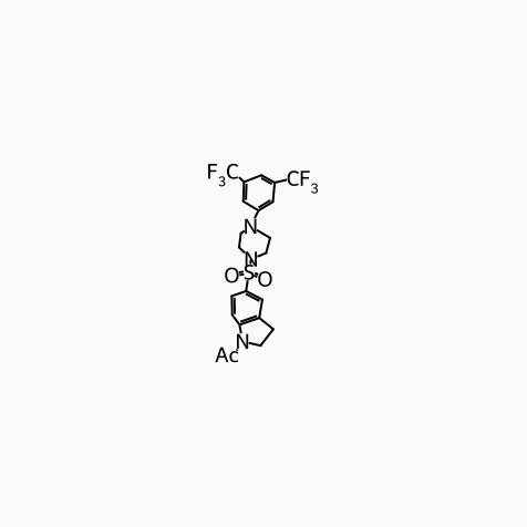 CC(=O)N1CCc2cc(S(=O)(=O)N3CCN(c4cc(C(F)(F)F)cc(C(F)(F)F)c4)CC3)ccc21